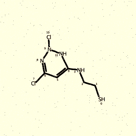 SCCNC1=CC(Cl)=NN(Cl)N1